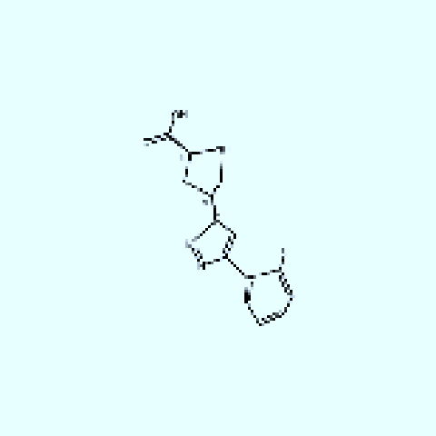 O=C(O)[C@@H]1C[C@H](n2cc(-c3ccccc3Cl)nn2)CN1